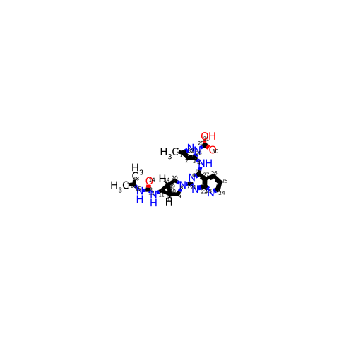 Cc1cc(Nc2nc(N3C[C@@H]4C(NC(=O)NC(C)C)[C@@H]4C3)nc3ncccc23)n(C(=O)O)n1